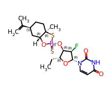 C=C(C)[C@H]1CC[C@@]2(C)S[P@](=S)(O[C@H]3[C@@H](F)[C@H](n4ccc(=O)[nH]c4=O)O[C@@H]3CC)O[C@@H]2C1